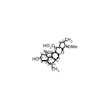 CON1C(=O)C(N(C(=O)O)c2ccc3c4c2O[C@H]2C[C@@H](O)C=C[C@@]42CCN(C)C3)CC1C